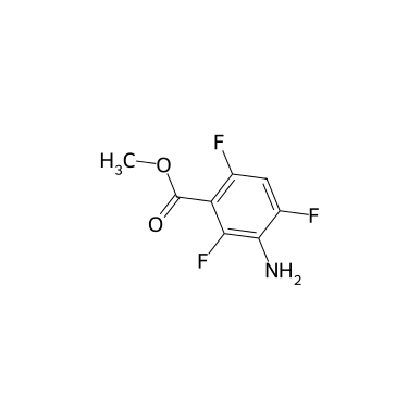 COC(=O)c1c(F)cc(F)c(N)c1F